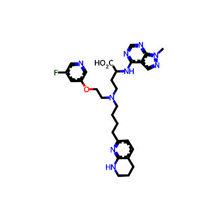 Cn1ncc2c(NC(CCN(CCCCc3ccc4c(n3)NCCC4)CCOc3cncc(F)c3)C(=O)O)ncnc21